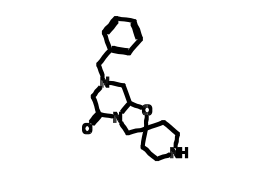 O=C1CN(Cc2ccccc2)CC2OC3(CCNCC3)CN12